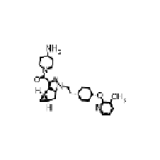 Cc1cccnc1O[C@H]1CC[C@@H](CCn2nc(C(=O)N3CCC(N)CC3)c3c2C[C@H]2C[C@@H]32)CC1